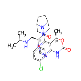 CC(C)NC[C@@H](C(=O)N1C2CCC1CN(c1ncnc3c1[C@@H](C)OC(=O)N3)C2)c1ccc(Cl)cc1